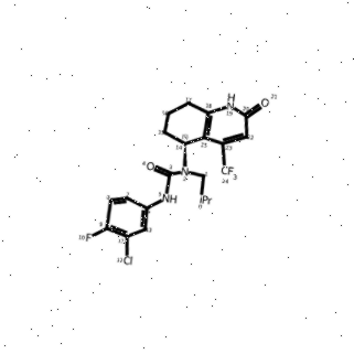 CC(C)CN(C(=O)Nc1ccc(F)c(Cl)c1)[C@H]1CCCc2[nH]c(=O)cc(C(F)(F)F)c21